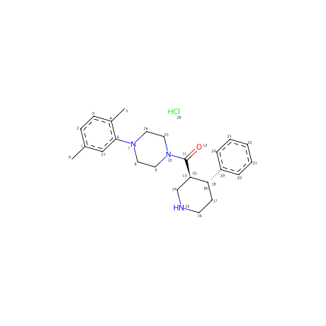 Cc1ccc(C)c(N2CCN(C(=O)[C@@H]3CNCC[C@H]3c3ccccc3)CC2)c1.Cl